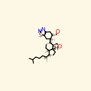 CC(C)CCC[C@@H](C)[C@H]1CC[C@H]2[C@H](C=O)[C@@H]([C@@]3(C)Cc4snnc4C[C@@H]3C=O)CC[C@]12C